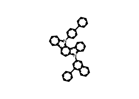 c1ccc(-c2ccc(-n3c4ccccc4c4ccc5c(c6ccccc6n5-c5cc(-c6ccccc6)c6ccccc6c5)c43)cc2)cc1